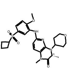 COc1ccc(S(=O)(=O)C2CCC2)cc1Nc1ccc2c(n1)N(C1CCOCC1)[C@H](C)C(=O)N2C